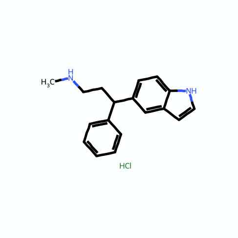 CNCCC(c1ccccc1)c1ccc2[nH]ccc2c1.Cl